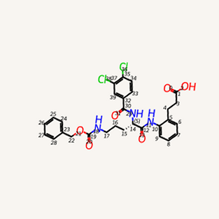 O=C(O)CCc1ccccc1NC(=O)[C@H](CCCNC(=O)OCc1ccccc1)NC(=O)c1ccc(Cl)c(Cl)c1